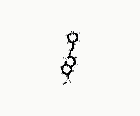 COc1ccc2nc(C=Cc3ccncc3)ccc2c1